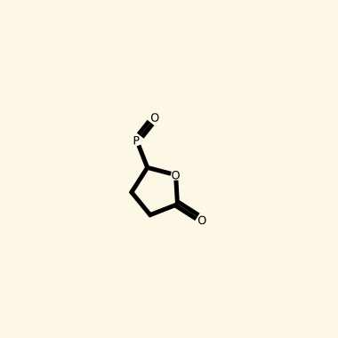 O=PC1CCC(=O)O1